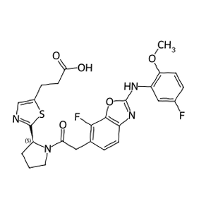 COc1ccc(F)cc1Nc1nc2ccc(CC(=O)N3CCC[C@H]3c3ncc(CCC(=O)O)s3)c(F)c2o1